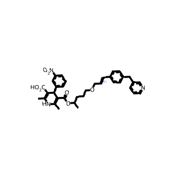 CC1=C(C(=O)O)C(c2cccc([N+](=O)[O-])c2)C(C(=O)OC(C)CCCOC/C=C/c2ccc(Cc3cccnc3)cc2)=C(C)N1